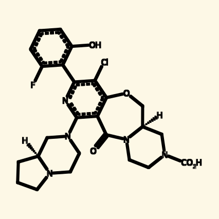 O=C(O)N1CCN2C(=O)c3c(N4CCN5CCC[C@H]5C4)nc(-c4c(O)cccc4F)c(Cl)c3OC[C@H]2C1